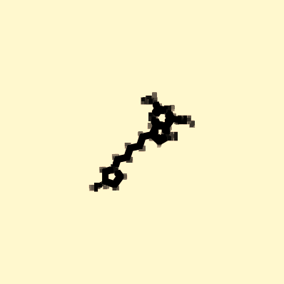 CCCCc1nc(N)c2[nH]cc(CCCCCN3CC[C@H](F)C3)c2n1